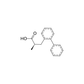 C[C@H](Cc1ccccc1-c1ccccc1)C(=O)O